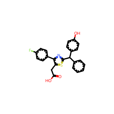 O=C(O)Cc1sc(C(c2ccccc2)c2ccc(O)cc2)nc1-c1ccc(F)cc1